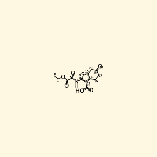 CCOC(=O)C(=O)Nc1sc2c(c1C(=O)O)CCC(=O)C2